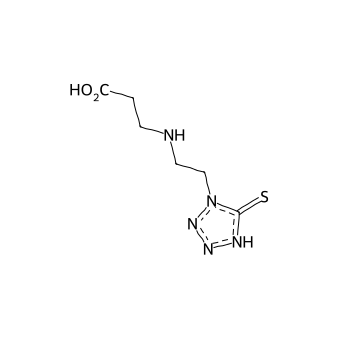 O=C(O)CCNCCn1nn[nH]c1=S